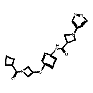 O=C(Nc1ccc(OC2CN(C(=O)C3CCC3)C2)cc1)C1CN(c2ccnnc2)C1